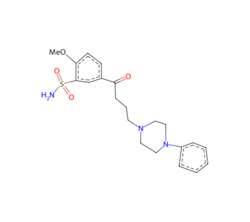 COc1ccc(C(=O)CCCN2CCN(c3ccccc3)CC2)cc1S(N)(=O)=O